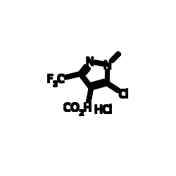 Cl.Cn1nc(C(F)(F)F)c(C(=O)O)c1Cl